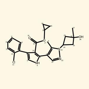 Cc1c(-c2[nH]cc(-c3ccccc3Cl)c2C(=O)OC2CC2)cnn1C1CC(C)(O)C1